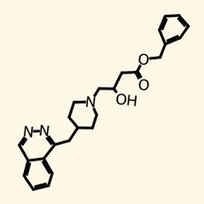 O=C(CC(O)CN1CCC(Cc2nncc3ccccc23)CC1)OCc1ccccc1